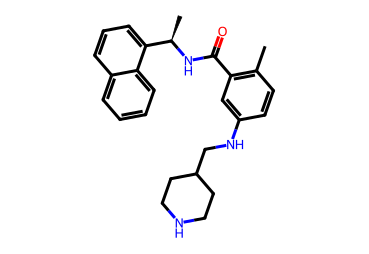 Cc1ccc(NCC2CCNCC2)cc1C(=O)N[C@H](C)c1cccc2ccccc12